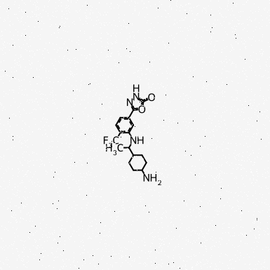 CC(Nc1cc(-c2n[nH]c(=O)o2)ccc1C(F)(F)F)C1CCC(N)CC1